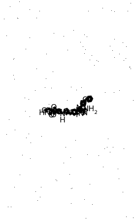 Nc1ncnc2c1c(-c1ccc(Oc3ccccc3)cc1)nn2C1CCC(CN2CCC[C@@H](Nc3ccc4c(c3)C(=O)N(C3CCC(=O)NC3=O)C4=O)C2)CC1F